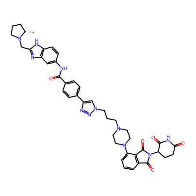 C[C@H]1CCCN1Cc1nc2cc(NC(=O)c3ccc(-c4cn(CCCN5CCN(c6cccc7c6C(=O)N(C6CCC(=O)NC6=O)C7=O)CC5)nn4)cc3)ccc2[nH]1